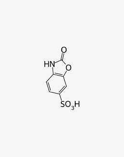 O=c1[nH]c2ccc(S(=O)(=O)O)cc2o1